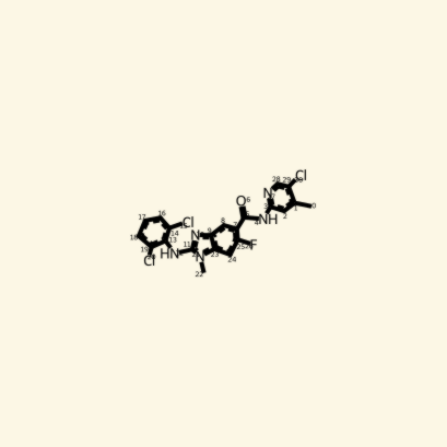 Cc1cc(NC(=O)c2cc3nc(Nc4c(Cl)cccc4Cl)n(C)c3cc2F)ncc1Cl